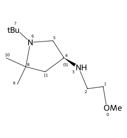 COCCN[C@@H]1CN(C(C)(C)C)C(C)(C)C1